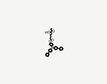 C=CC(=O)C(O)CCCCC(=O)Oc1ccc(N(c2ccc(-c3ccccc3)cc2)c2ccc(-c3ccccc3)cc2)cc1